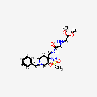 CCOC(CNCC(=O)NCC1(NS(C)(=O)=O)CCN(Cc2ccccc2)CC1)OCC